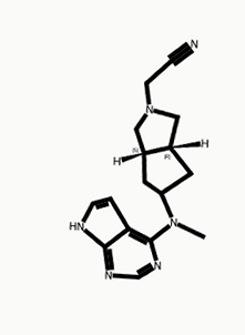 CN(c1ncnc2[nH]ccc12)C1C[C@@H]2CN(CC#N)C[C@@H]2C1